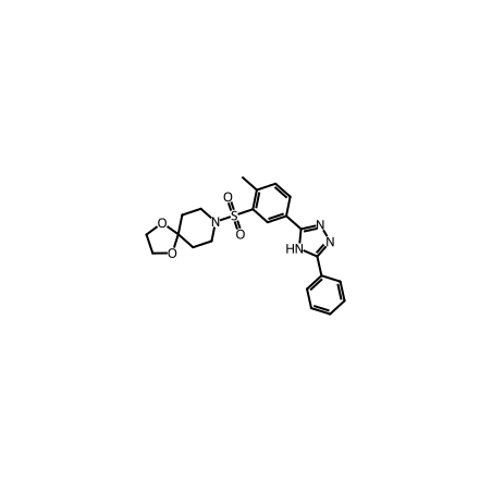 Cc1ccc(-c2nnc(-c3ccccc3)[nH]2)cc1S(=O)(=O)N1CCC2(CC1)OCCO2